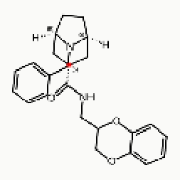 O=C(NCC1COc2ccccc2O1)[C@@H]1C[C@H]2CC[C@@H](C1)N2Cc1ccccc1